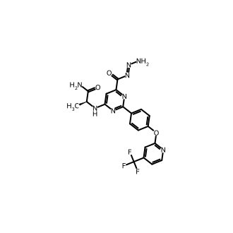 C[C@H](Nc1cc(C(=O)N=NN)nc(-c2ccc(Oc3cc(C(F)(F)F)ccn3)cc2)n1)C(N)=O